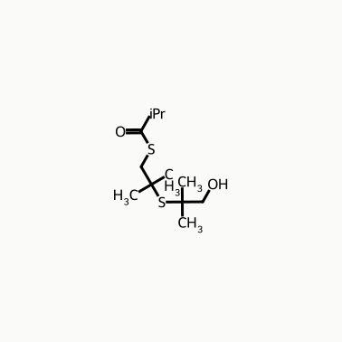 CC(C)C(=O)SCC(C)(C)SC(C)(C)CO